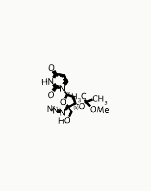 COC(C)(C)O[C@H]1C[C@H](n2ccc(=O)[nH]c2=O)O[C@@]1(CO)N=[N+]=[N-]